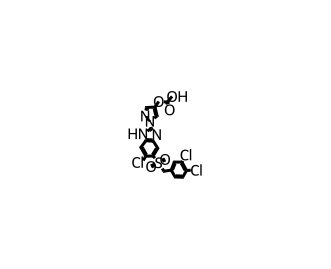 O=C(O)Oc1cnn(-c2nc3cc(S(=O)(=O)Cc4ccc(Cl)c(Cl)c4)c(Cl)cc3[nH]2)c1